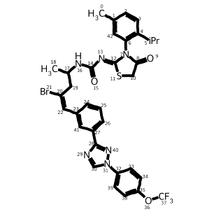 Cc1ccc(C(C)C)c(N2C(=O)CS/C2=N\C(=O)NC(C)C/C(Br)=C\c2cccc(-c3ncn(-c4ccc(OC(F)(F)F)cc4)n3)c2)c1